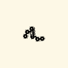 O=C(Oc1ncccc1Cc1cccc(-c2ccccc2)c1)Oc1ncccc1Cc1cccc(-c2ccccc2)c1